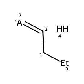 CCC[CH]=[Al].[HH]